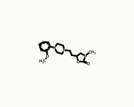 COc1ccccc1N1CCN(CCC2CN(C)C(=O)O2)CC1